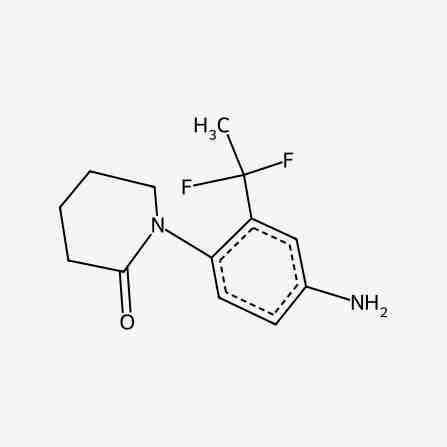 CC(F)(F)c1cc(N)ccc1N1CCCCC1=O